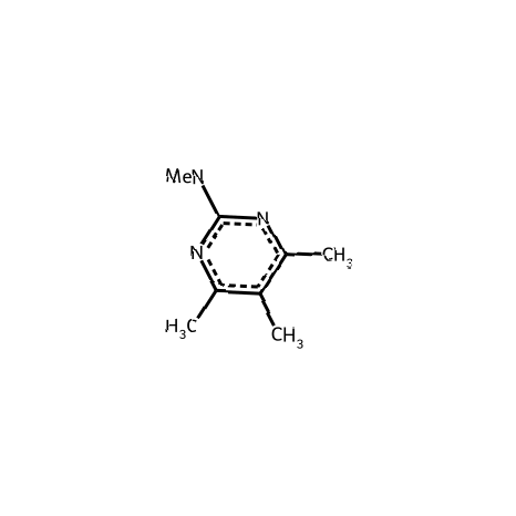 CNc1nc(C)c(C)c(C)n1